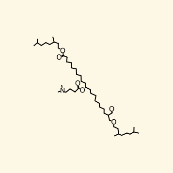 CC(C)CCCC(C)CCOCC(C=O)CCCCCCCCC(CCCCCCCCCC(=O)OCCC(C)CCCC(C)C)OC(=O)CCCN(C)C